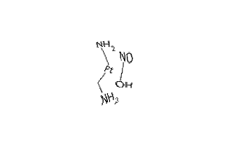 O=NO.[NH2][Pt][NH2]